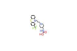 O=C(O)NCC1CCN(CCCN2c3ccccc3Sc3ccc(C(F)(F)F)cc32)CC1